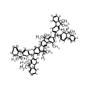 Cc1cc(N(c2ccc3c(c2)C(C)(C)c2ccccc2-3)c2ccc3c(c2)C(C)(C)c2ccccc2-3)cc2c1-c1cc3c(cc1C2(C)C)-c1ccc(N(c2ccc4c(c2)C(C)(C)c2ccccc2-4)c2ccc4c(c2)C(C)(C)c2ccccc2-4)cc1C3(C)C